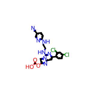 N#Cc1ccc(NCCNc2nc(-c3ccc(Cl)cc3Cl)cc3nc(OC(=O)O)cn23)nc1